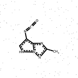 Cc1nc2c(N=C=O)c[nH]n2n1